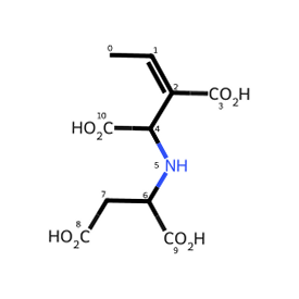 CC=C(C(=O)O)C(NC(CC(=O)O)C(=O)O)C(=O)O